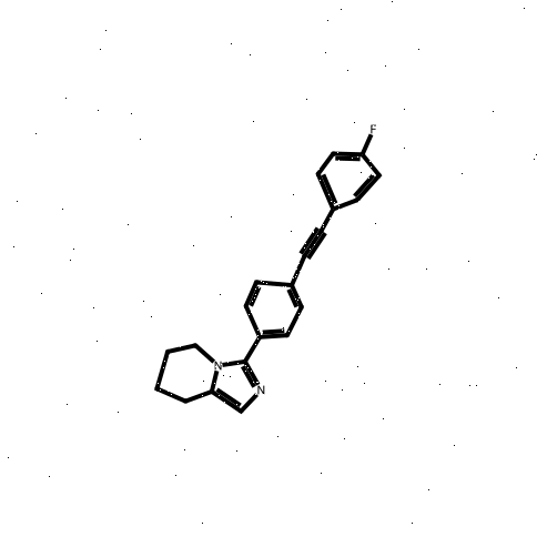 Fc1ccc(C#Cc2ccc(-c3ncc4n3CCCC4)cc2)cc1